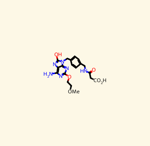 COCCOc1nc(N)c2nc(O)n(Cc3ccc(CNC(=O)CC(=O)O)cc3)c2n1